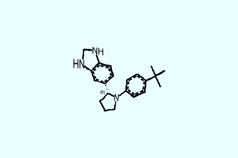 CC(C)(C)c1ccc(N2CCC[C@@H]2c2ccc3c(c2)NCN3)cc1